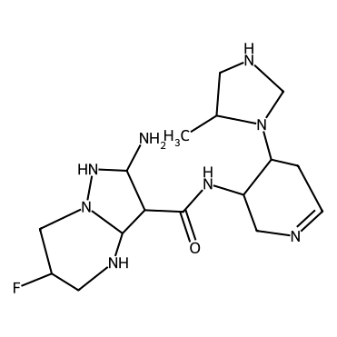 CC1CNCN1C1CC=NCC1NC(=O)C1C(N)NN2CC(F)CNC12